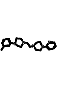 Cc1cccc(N2CCN(CCN3CCN(c4ccccn4)CC3)CC2)c1